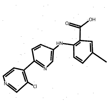 Cc1ccc(Nc2ccc(-c3ccncc3Cl)nc2)c(C(=O)O)c1